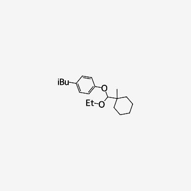 CCOC(Oc1ccc(C(C)CC)cc1)C1(C)CCCCC1